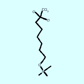 C[Si](C)(C)OCCCCCCC(Cl)(Cl)C(Cl)(Cl)Cl